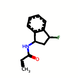 C=CC(=O)NC1CC(F)c2ccccc21